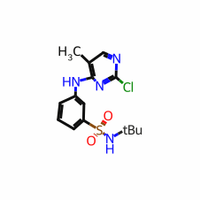 Cc1cnc(Cl)nc1Nc1cccc(S(=O)(=O)NC(C)(C)C)c1